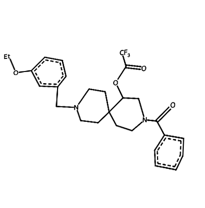 CCOc1cccc(CN2CCC3(CC2)CCN(C(=O)c2ccccc2)CC3OC(=O)C(F)(F)F)c1